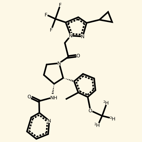 [2H]C([2H])([2H])Oc1cccc([C@@H]2[C@H](NC(=O)c3ccccn3)CCN2C(=O)Cn2nc(C3CC3)cc2C(F)(F)F)c1C